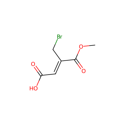 COC(=O)/C(=C/C(=O)O)CBr